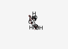 CCC(C)[C@H](NC(=O)CCCOc1ccc(Oc2ccc(CN(Cc3ccccc3)c3cccc(NS(C)(=O)=O)c3C)cc2)cc1)C(=O)O